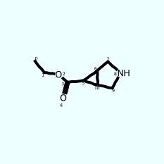 CCOC(=O)C1C2CNCC21